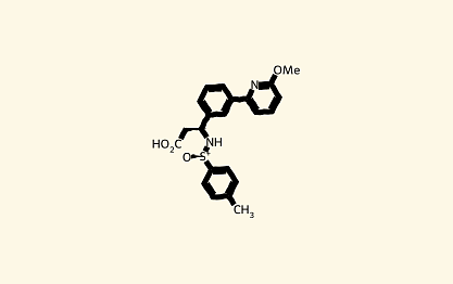 COc1cccc(-c2cccc([C@H](CC(=O)O)N[S@+]([O-])c3ccc(C)cc3)c2)n1